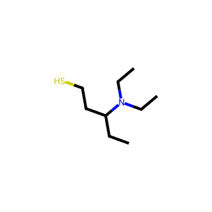 CCC(CCS)N(CC)CC